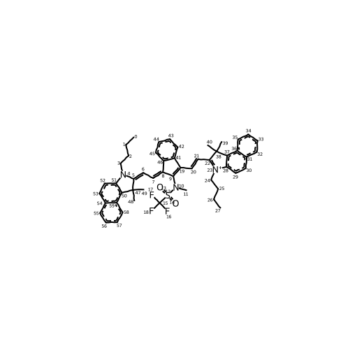 CCCCN1/C(=C/C=C2C(N(C)S(=O)(=O)C(F)(F)F)=C(/C=C/C3=[N+](CCCC)c4ccc5ccccc5c4C3(C)C)c3ccccc3/2)C(C)(C)c2c1ccc1ccccc21